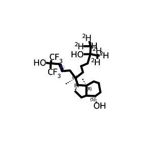 [2H]C([2H])([2H])C(O)(CCC[C@](C)(C/C=C/C(O)(C(F)(F)F)C(F)(F)F)[C@H]1CCC2[C@@H](O)CCC[C@@]21C)C([2H])([2H])[2H]